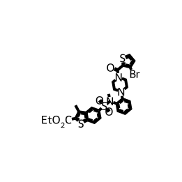 CCOC(=O)c1sc2ccc(S(=O)(=O)N(C)c3ccccc3N3CCN(C(=O)c4sccc4Br)CC3)cc2c1C